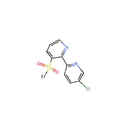 CCS(=O)(=O)c1cccnc1-c1ccc(Cl)cn1